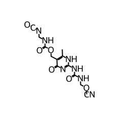 Cc1[nH]c(NC(=O)NCOC#N)nc(=O)c1COC(=O)NCN=C=O